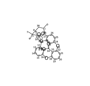 CC1CCC2C(C)(C)C2(OCCc2cccc(Oc3cccc(Oc4ccc5c(c4)OCO5)c3C(=O)O)c2)C1